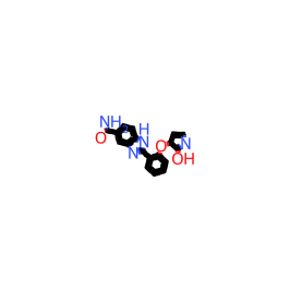 NC(=O)c1ccc2[nH]c(-c3ccccc3OC3C=CN=C3O)nc2c1